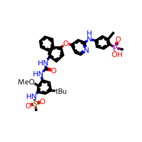 COc1c(NC(=O)Nc2ccc(Oc3ccnc(Nc4ccc(P(C)(=O)O)c(C)c4)c3)c3ccccc23)cc(C(C)(C)C)cc1NS(C)(=O)=O